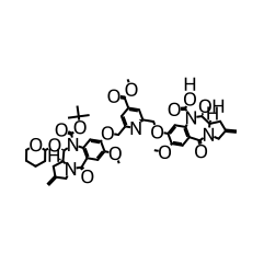 C=C1C[C@H]2[C@H](O)N(C(=O)O)c3cc(OCc4cc(C(=O)OC)cc(COc5cc6c(cc5OC)C(=O)N5CC(=C)C[C@H]5[C@H](OC5CCCCO5)N6C(=O)OC(C)(C)C)n4)c(OC)cc3C(=O)N2C1